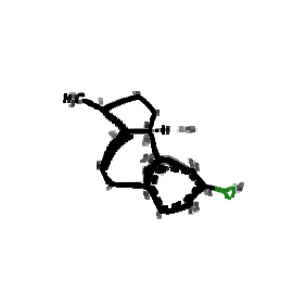 CC1CC[C@@H]2C1=CCc1ccc(Cl)cc12